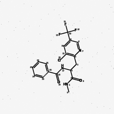 CNC(=O)C(Cc1ncc(C(F)(F)F)cc1Cl)NC(=O)c1ccccc1